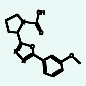 COc1cccc(-c2nnc(C3CCCN3C(=O)O)o2)c1